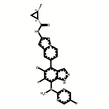 CN(c1ncc(F)cn1)c1c(F)c(Cl)c(-c2ccn3nc(NC(=O)[C@@H]4C[C@@H]4F)cc3c2)c2cn[nH]c12